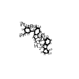 CC1=Cc2c(ccc(C(C)(C)C)c2-c2cc(C(C)C)cc(C(C)C)c2)[CH]1[Zr]([Cl])([Cl])[c]1cccc2c1[SiH2]c1ccccc1-2